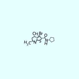 Cc1cc(C)c2c(Br)c(C(=O)NC3CCCC3)sc2n1